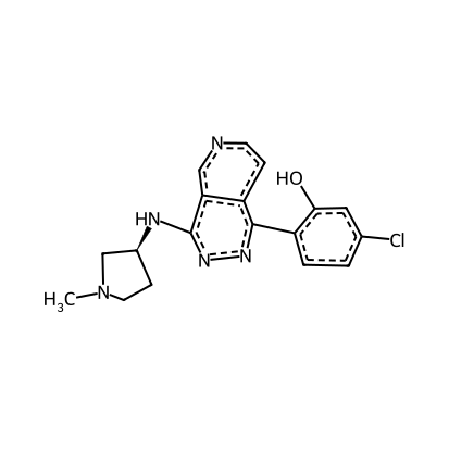 CN1CC[C@H](Nc2nnc(-c3ccc(Cl)cc3O)c3ccncc23)C1